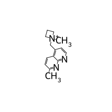 Cc1ccc2c(C[N+]3(C)CCC3)ccnc2n1